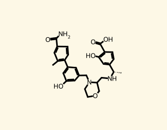 Cc1cc(C(N)=O)ccc1-c1cc(O)cc(CN2CCOCC2CN[C@@H](C)c2ccc(C(=O)O)c(O)c2)c1